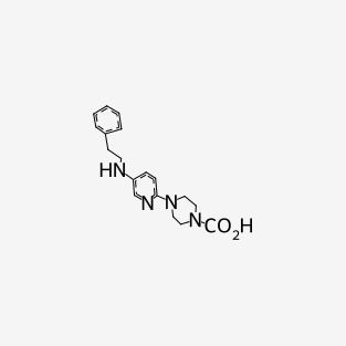 O=C(O)N1CCN(c2ccc(NCCc3ccccc3)cn2)CC1